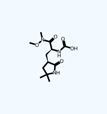 CON(C)C(=O)[C@H](C[C@@H]1CC(C)(C)NC1=O)NC(=O)O